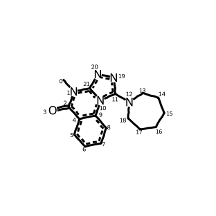 Cn1c(=O)c2ccccc2n2c(N3CCCCCC3)nnc12